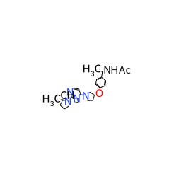 CC(=O)N[C@@H](C)c1ccc(O[C@@H]2CCN(c3ccnc(N4CCCC4(C)C)n3)C2)cc1